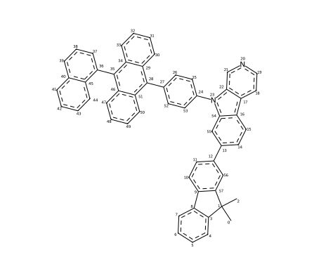 CC1(C)c2ccccc2-c2ccc(-c3ccc4c5ccncc5n(-c5ccc(-c6c7ccccc7c(-c7cccc8ccccc78)c7ccccc67)cc5)c4c3)cc21